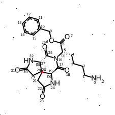 NCCCC[C@@H](C(=O)OCc1ccccc1)N(C(=O)[C@@H]1CCC(=O)N1)C(=O)[C@@H]1CCC(=O)N1